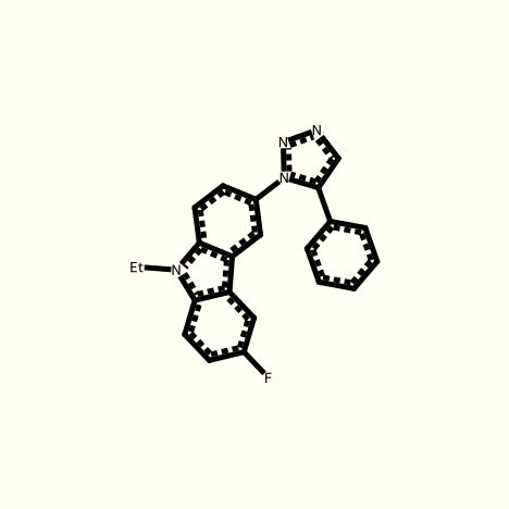 CCn1c2ccc(F)cc2c2cc(-n3nncc3-c3ccccc3)ccc21